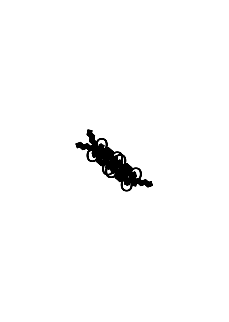 CCCCCC(C)N1C(=O)c2ccc3c4c(ccc(c24)C1=O)C(=O)N(N1C(=O)c2ccc4c5c(ccc(c25)C1=O)C(=O)N(C(CCCCC)CCCCC)C4=O)C3=O